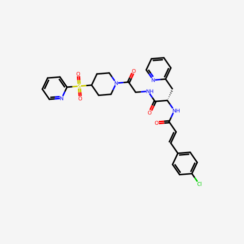 O=C(C=Cc1ccc(Cl)cc1)N[C@@H](Cc1ccccn1)C(=O)NCC(=O)N1CCC(S(=O)(=O)c2ccccn2)CC1